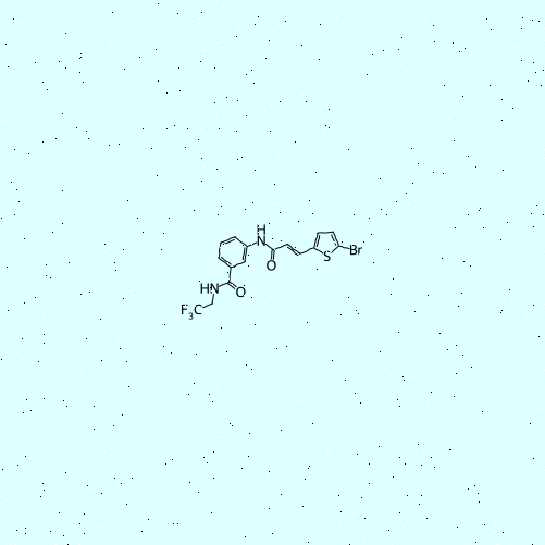 O=C(/C=C/c1ccc(Br)s1)Nc1cccc(C(=O)NCC(F)(F)F)c1